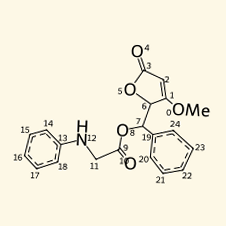 COC1=CC(=O)OC1C(OC(=O)CNc1ccccc1)c1ccccc1